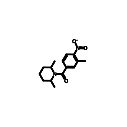 Cc1cc(C(=O)N2C(C)CCCC2C)ccc1[N+](=O)[O-]